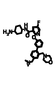 CN(C)Cc1ccc(-c2cccc(Oc3ncc(F)cc3C(=O)N[C@H]3CC[C@H](N)CC3)c2)c(CN2CCOCC2)c1